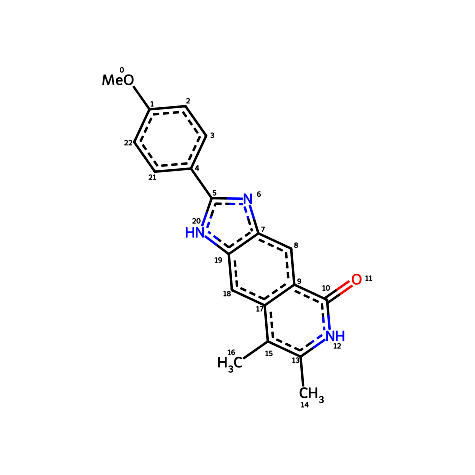 COc1ccc(-c2nc3cc4c(=O)[nH]c(C)c(C)c4cc3[nH]2)cc1